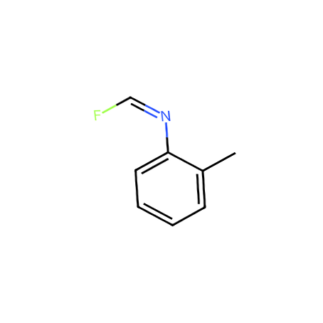 Cc1ccccc1/N=C\F